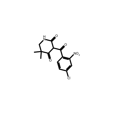 CC1(C)CNC(=O)C(C(=O)c2ccc(Cl)cc2[N+](=O)[O-])C1=O